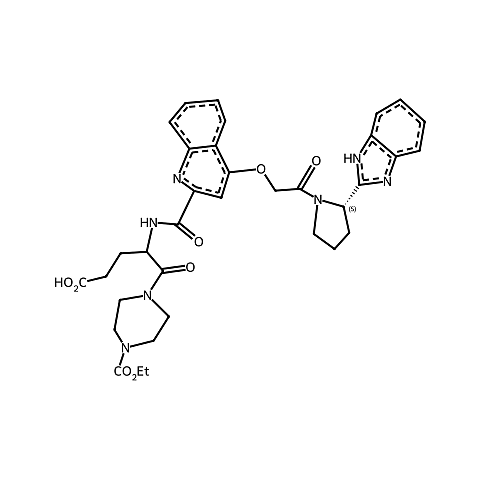 CCOC(=O)N1CCN(C(=O)C(CCC(=O)O)NC(=O)c2cc(OCC(=O)N3CCC[C@H]3c3nc4ccccc4[nH]3)c3ccccc3n2)CC1